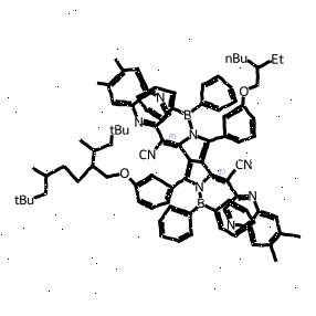 [C-]#[N+]/C(c1cnc2cc(C)c(C)cc2n1)=c1\c2c(-c3cccc(OCC(CCC(C)CC(C)(C)C)C(C)CC(C)(C)C)c3)n(B(c3ccccc3)c3ccccc3)/c(=C(/C#N)c3cnc4cc(C)c(C)cc4n3)c2c(-c2cccc(OCC(CC)CCCC)c2)n1B(c1ccccc1)c1ccccc1